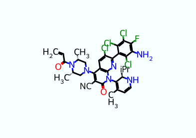 C=CC(=O)N1[C@H](C)CN(c2c(C#N)c(=O)n(C3=C(C)C=CN[C@@H]3C(C)C)c3nc(-c4c(Cl)c(N)c(F)c(Cl)c4Cl)c(Cl)cc23)C[C@@H]1C